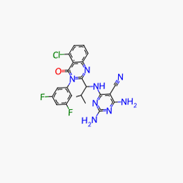 CC(C)C(Nc1nc(N)nc(N)c1C#N)c1nc2cccc(Cl)c2c(=O)n1-c1cc(F)cc(F)c1